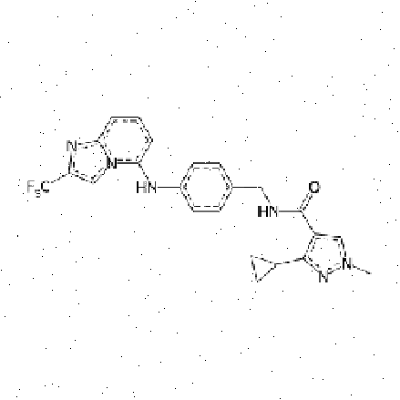 Cn1cc(C(=O)NCc2ccc(Nc3cccc4nc(C(F)(F)F)cn34)cc2)c(C2CC2)n1